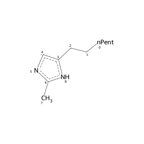 CCCCCCCc1[c]nc(C)[nH]1